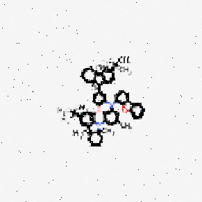 Cc1cc2c3c(c1)N1c4c(cc(C(C)(C)C)cc4C4(C)CCCCC14C)B3c1ccc(C3c4ccc(C(C)(C)C)cc4C4(C)CCCCC34C)cc1N2c1cccc2c1oc1ccccc12